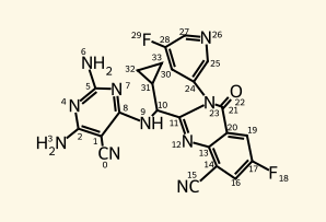 N#Cc1c(N)nc(N)nc1NC(c1nc2c(C#N)cc(F)cc2c(=O)n1-c1cncc(F)c1)C1CC1